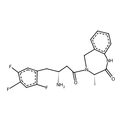 C[C@H]1C(=O)Nc2ccccc2CN1C(=O)C[C@H](N)Cc1cc(F)c(F)cc1F